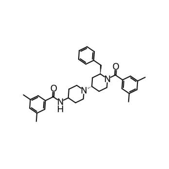 Cc1cc(C)cc(C(=O)NC2CCN([C@H]3CCN(C(=O)c4cc(C)cc(C)c4)[C@H](Cc4ccccc4)C3)CC2)c1